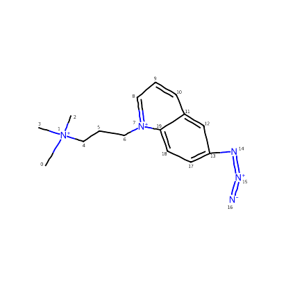 C[N+](C)(C)CCC[n+]1cccc2cc(N=[N+]=[N-])ccc21